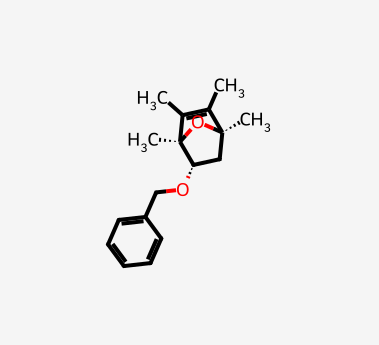 CC1=C(C)[C@@]2(C)O[C@]1(C)C[C@@H]2OCc1ccccc1